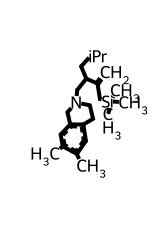 C=C(C[Si](C)(C)C)C(CC(C)C)CN1CCc2cc(C)c(C)cc2C1